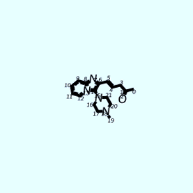 CC(=O)C/C=C/c1nc2ccccn2c1N1CCN(C)CC1